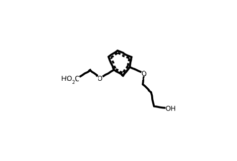 O=C(O)COc1cccc(OCCCO)c1